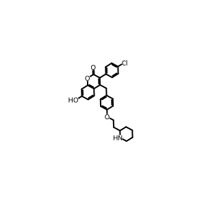 O=c1oc2cc(O)ccc2c(Cc2ccc(OCCC3CCCCN3)cc2)c1-c1ccc(Cl)cc1